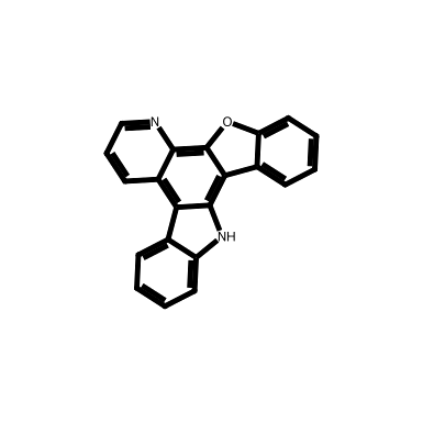 c1ccc2c(c1)[nH]c1c2c2cccnc2c2oc3ccccc3c12